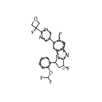 Fc1cc2nc3n(c2cc1-c1cnc(C2(F)COC2)nc1)C(c1ccccc1OC(F)F)C[C@@H]3F